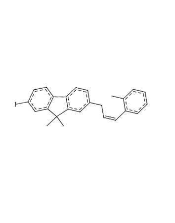 Cc1ccccc1/C=C\Cc1ccc2c(c1)C(C)(C)c1cc(I)ccc1-2